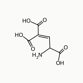 NC(C=C(C(=O)O)C(=O)O)C(=O)O